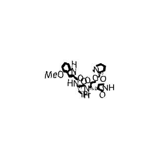 COc1cccc2[nH]c(C(=O)N[C@@H](CC(C)C)C(=O)N[C@@H](C[C@@H]3CCNC3=O)C(=O)COC(=O)[C@@H]3CCCCN3C)cc12